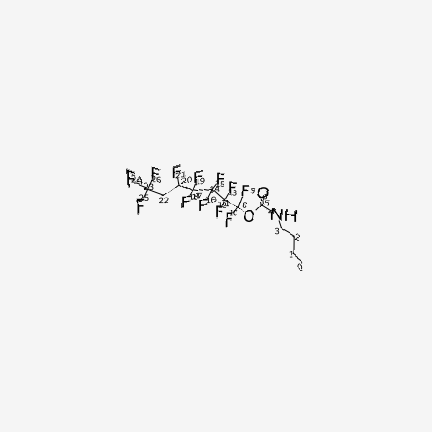 CCCCNC(=O)OC(F)(F)C(F)(F)C(F)(F)C(F)(F)C(F)CC(F)(F)F